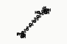 CC(C)P(=O)(O)OCCOCCOCCOCCOCC(O)CO[PH](C)(O)O